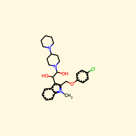 Cn1c(COc2ccc(Cl)cc2)c(C(O)C(O)N2CCC(N3CCCCC3)CC2)c2ccccc21